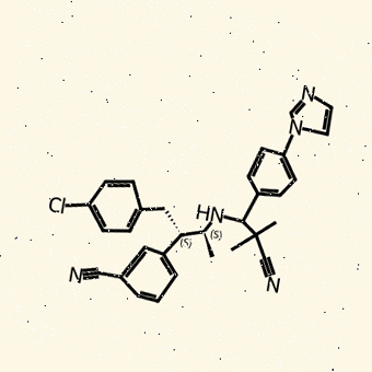 C[C@H](NC(c1ccc(-n2ccnc2)cc1)C(C)(C)C#N)[C@@H](Cc1ccc(Cl)cc1)c1cccc(C#N)c1